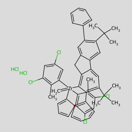 Cl.Cl.[CH2]=[Zr]([C]1=CC=CC1)([c]1cc(Cl)cc(Cl)c1C)([c]1cc(Cl)cc(Cl)c1C)[c]1c2c(cc(C(C)(C)C)c1-c1ccccc1)-c1cc(C(C)(C)C)c(-c3ccccc3)cc1C2